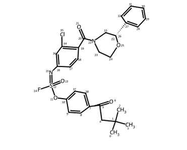 CC(C)(C)CC(=O)c1ccc(OS(=O)(F)=Nc2ccc(C(=O)N3CCO[C@@H](c4ccccc4)C3)c(Cl)c2)cc1